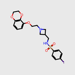 O=S(=O)(NCC1CN(CCOc2cccc3c2OCCO3)C1)c1ccc(I)cc1